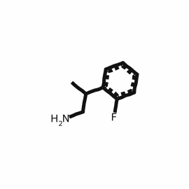 CC(CN)c1ccccc1F